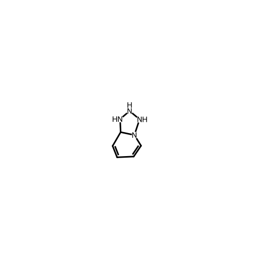 C1=CC2NNNN2C=C1